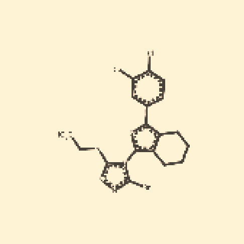 O=C(O)CSc1nnc(Br)n1-c1sc(-c2ccc(Cl)c(Cl)c2)c2c1CCCC2